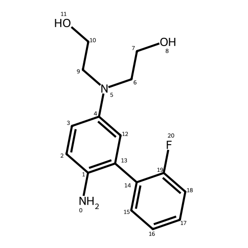 Nc1ccc(N(CCO)CCO)cc1-c1ccccc1F